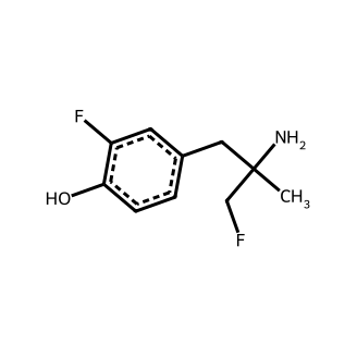 CC(N)(CF)Cc1ccc(O)c(F)c1